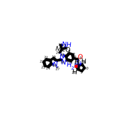 COc1cc(C(=O)N2C[C@H]3CC[C@@H]2[C@@H]3N)cc2nc(-c3cc4ccccc4n3C)n(CC3CNC3)c12